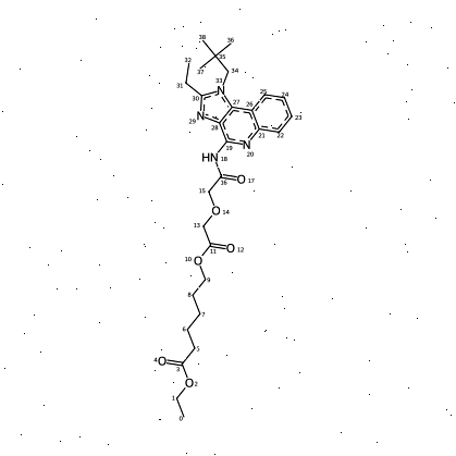 CCOC(=O)CCCCCOC(=O)COCC(=O)Nc1nc2ccccc2c2c1nc(CC)n2CC(C)(C)C